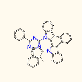 CC1CC=CC=C1n1c2ccccc2c2c3ccccc3c3c4ccccc4n(-c4nc(-c5ccccc5)nc(-c5ccccc5)n4)c3c21